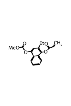 C=CC(=O)Oc1c(CC)cc(OC(=O)OC)c2ccccc12